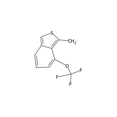 [CH2]c1scc2cccc(OC(F)(F)F)c12